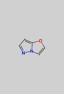 [c]1cnn2[c]coc12